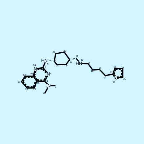 CN(C)c1nc(N[C@H]2CC[C@@H](CNCCCCc3cccs3)CC2)nc2ccccc12